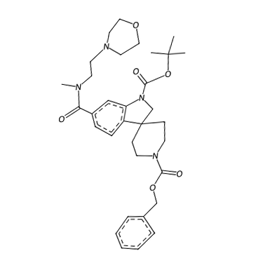 CN(CCN1CCOCC1)C(=O)c1ccc2c(c1)N(C(=O)OC(C)(C)C)CC21CCN(C(=O)OCc2ccccc2)CC1